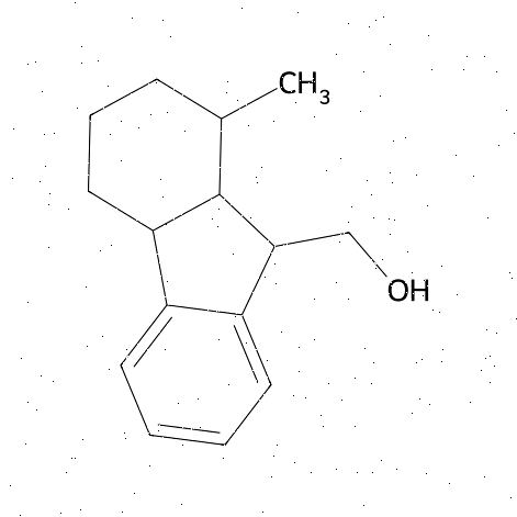 CC1CCCC2c3ccccc3C(CO)C12